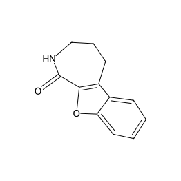 O=C1NCCCc2c1oc1ccccc21